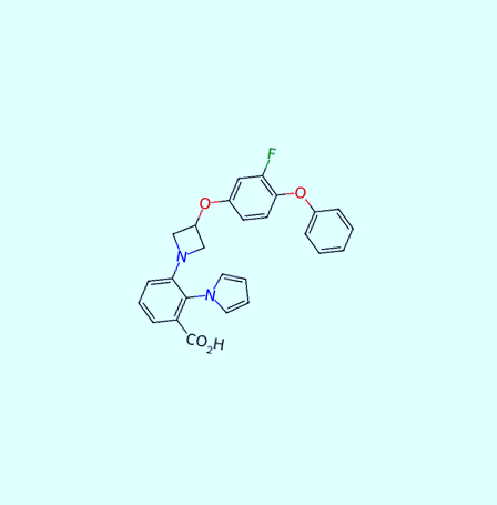 O=C(O)c1cccc(N2CC(Oc3ccc(Oc4ccccc4)c(F)c3)C2)c1-n1cccc1